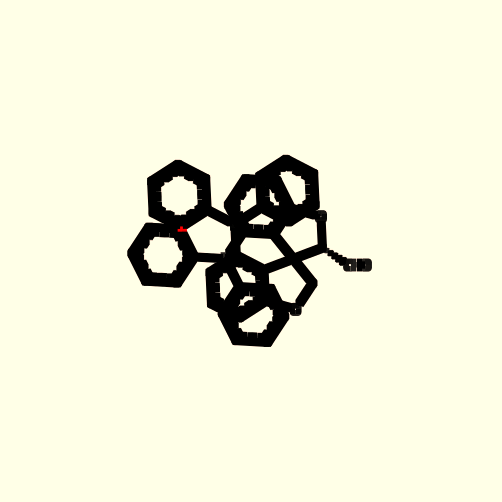 O=C[C@H]1Oc2cccc(P(c3ccccc3)c3ccccc3)c2C12COc1cccc(P(c3ccccc3)c3ccccc3)c12